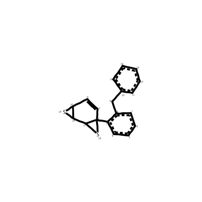 C1=CC2(c3ccccc3Cc3ccccc3)SC2C2SC12